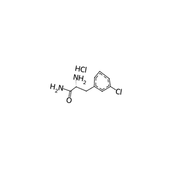 Cl.NC(=O)[C@H](N)Cc1cccc(Cl)c1